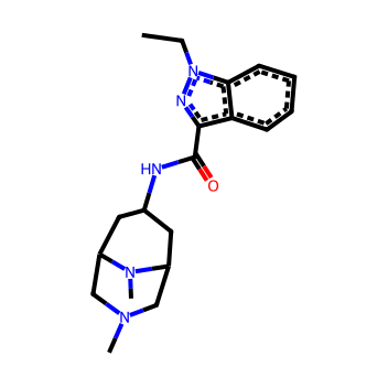 CCn1nc(C(=O)NC2CC3CN(C)CC(C2)N3C)c2ccccc21